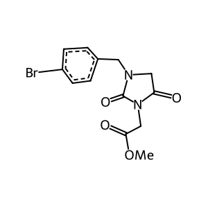 COC(=O)CN1C(=O)CN(Cc2ccc(Br)cc2)C1=O